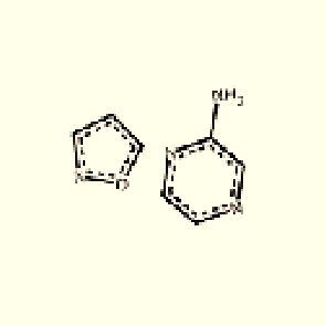 Nc1cnccn1.c1cnoc1